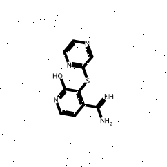 N=C(N)c1ccnc(O)c1Sc1cnccn1